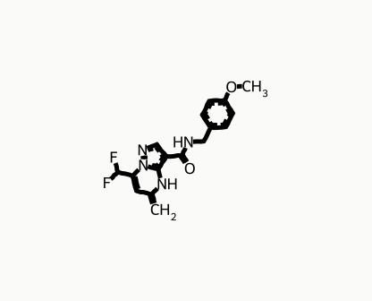 C=C1C=C(C(F)F)n2ncc(C(=O)NCc3ccc(OC)cc3)c2N1